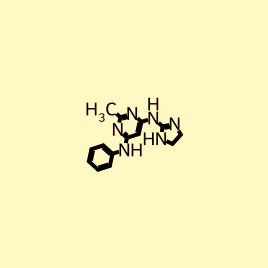 Cc1nc(NC2=NCCN2)cc(Nc2ccccc2)n1